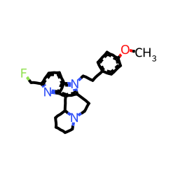 COc1ccc(CCn2c3c(c4nc(CF)ccc42)C2CCCCN2CC3)cc1